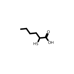 CCCCC(S)C(=O)O